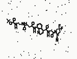 CC(C)(C)OC(=O)NCCNC(=O)CCC(=O)Nc1cccc2c(C(=O)NCC(=O)N3CC(F)(F)C[C@H]3C#N)ccnc12